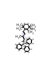 CC1=C(/C=C/C(C)=C/C[PH](c2ccccc2)(c2ccccc2)c2ccccc2)C(C)(C)CCC1(C)N